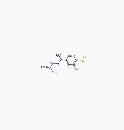 C=C(N)NCC(C)c1ccc(SF)c(O)c1